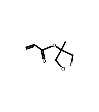 C=CC(=O)OC(C)(CCl)CCl